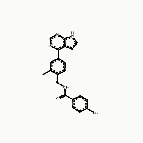 Cc1cc(-c2ncnc3[nH]ccc23)ccc1CNC(=O)c1ccc(C(C)(C)C)cc1